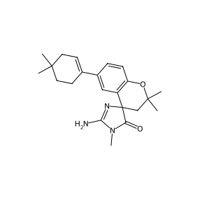 CN1C(=O)C2(CC(C)(C)Oc3ccc(C4=CCC(C)(C)CC4)cc32)N=C1N